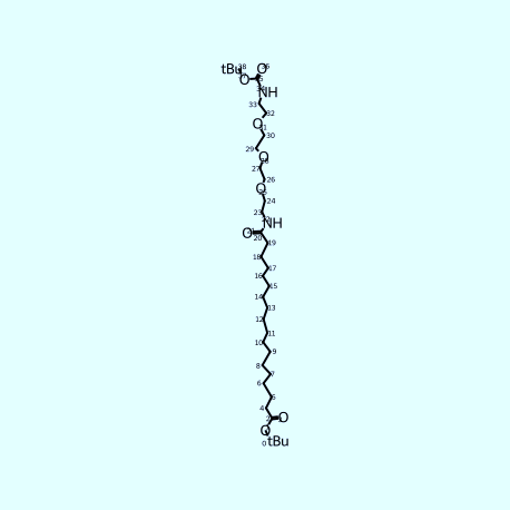 CC(C)(C)OC(=O)CCCCCCCCCCCCCCCCC(=O)NCCOCCOCCOCCNC(=O)OC(C)(C)C